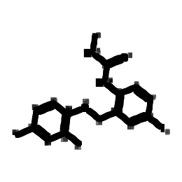 CNC(=O)Nc1ccc(I)cc1COc1ccc(C)cc1C